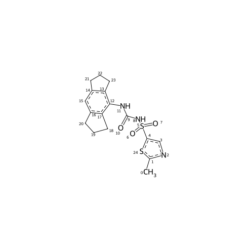 Cc1ncc(S(=O)(=O)NC(=O)Nc2c3c(cc4c2CCC4)CCC3)s1